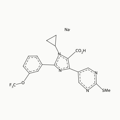 CSc1ncc(-c2nc(-c3cccc(OC(F)(F)F)c3)n(C3CC3)c2C(=O)O)cn1.[Na]